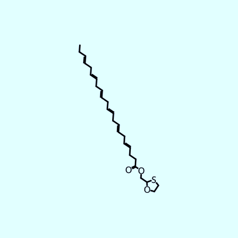 CCC=CCC=CCC=CCC=CCC=CCC=CCCC(=O)OCC1OCCS1